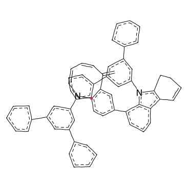 C=C1/C=C\C=C/N(c2cc(-c3ccccc3)cc(-c3ccccc3)c2)c2ccc(-c3cccc4c5c(n(-c6cc(-c7ccccc7)cc(-c7ccccc7)c6)c34)CCC=C5)cc21